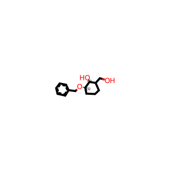 OCC1CCC[C@H](OCc2ccccc2)[C@@H]1O